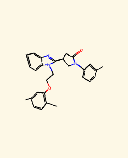 Cc1cccc(N2CC(c3nc4ccccc4n3CCOc3cc(C)ccc3C)CC2=O)c1